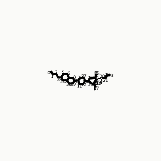 C=CCCC1CCC2CC(C3CCC(c4cc(F)c(OCC=CC)c(F)c4)CC3)CCC2C1